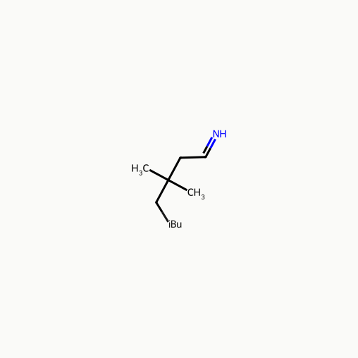 CCC(C)CC(C)(C)CC=N